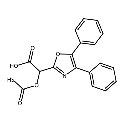 O=C(S)OC(C(=O)O)c1nc(-c2ccccc2)c(-c2ccccc2)o1